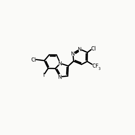 FC(F)(F)c1cc(-c2cnc3c(I)c(Cl)ccn23)nnc1Cl